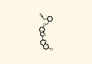 N#CCc1ccccc1COc1ccc2cc(-c3ccc4ccc(Cl)cc4n3)oc2c1